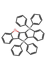 c1ccc([Si]2(c3ccccc3)C3=C(c4ccccc42)[Si](c2ccccc2)(c2ccccc2)c2c3oc3ccccc23)cc1